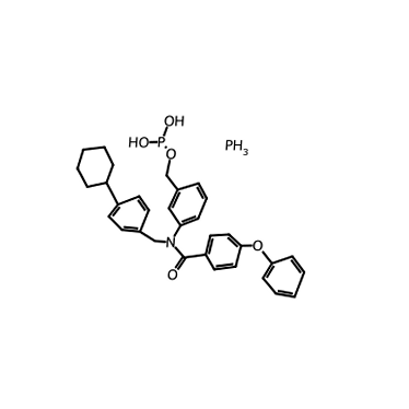 O=C(c1ccc(Oc2ccccc2)cc1)N(Cc1ccc(C2CCCCC2)cc1)c1cccc(COP(O)O)c1.P